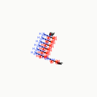 NCCNCCNC(CCCCP(=O)(O)O)P(=O)(O)O.NCCNCCNC(CCCCP(=O)(O)O)P(=O)(O)O.NCCNCCNC(CCCCP(=O)(O)O)P(=O)(O)O.NCCNCCNC(CCCCP(=O)(O)O)P(=O)([O-])O.NCCNCCNC(CCCCP(=O)(O)O)P(=O)([O-])[O-].NCCNCCNC(CCCCP(=O)(O)O)P(=O)([O-])[O-].NCCNCCNC(CCCCP(=O)(O)O)P(=O)([O-])[O-].[Na+].[Na+].[Na+].[Na+].[Na+].[Na+].[Na+]